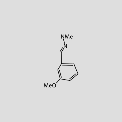 CN/N=C/c1cccc(OC)c1